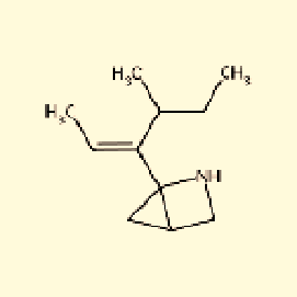 C/C=C(\C(C)CC)C12CC1CN2